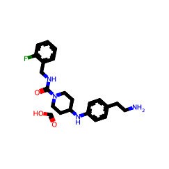 NCCc1ccc(NC2CCN(C(=O)NCc3ccccc3F)CC2)cc1.O=CO